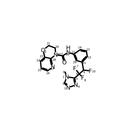 Cn1cnnc1C(F)(F)C(F)c1cccc(NC(=O)N2CCOc3cccnc32)c1